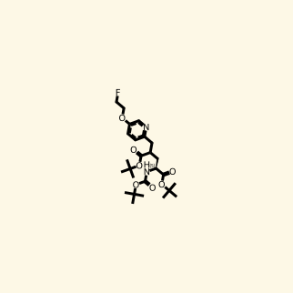 CC(C)(C)OC(=O)N[C@@H](CC(Cc1ccc(OCCF)cn1)C(=O)OC(C)(C)C)C(=O)OC(C)(C)C